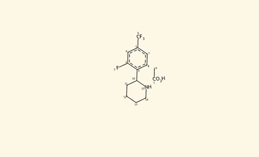 CC(=O)O.Fc1cc(C(F)(F)F)ccc1C1CCCCN1